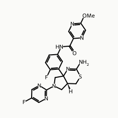 COc1cnc(C(=O)Nc2ccc(F)c(C34CN(c5ncc(F)cn5)C[C@H]3CSC(N)=N4)c2)cn1